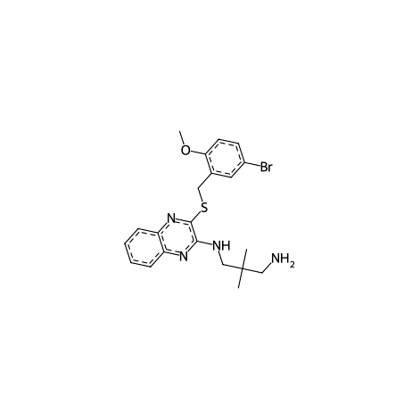 COc1ccc(Br)cc1CSc1nc2ccccc2nc1NCC(C)(C)CN